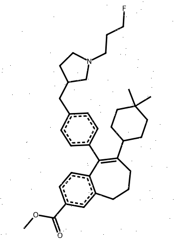 COC(=O)c1ccc2c(c1)CCCC(C1CCC(C)(C)CC1)=C2c1ccc(CC2CCN(CCCF)C2)cc1